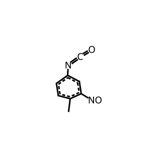 Cc1ccc(N=C=O)cc1N=O